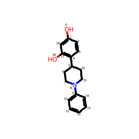 Oc1ccc(C2CCN(c3cc[c]cc3)CC2)c(O)c1